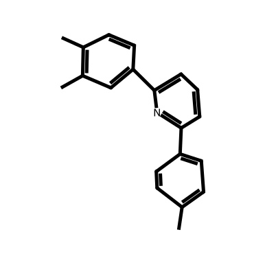 Cc1ccc(-c2cccc(-c3ccc(C)c(C)c3)n2)cc1